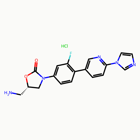 Cl.NC[C@H]1CN(c2ccc(-c3ccc(-n4ccnc4)nc3)c(F)c2)C(=O)O1